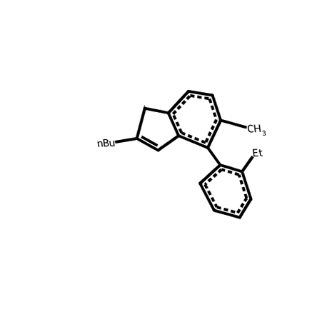 CCCCC1=Cc2c(ccc(C)c2-c2ccccc2CC)[CH]1